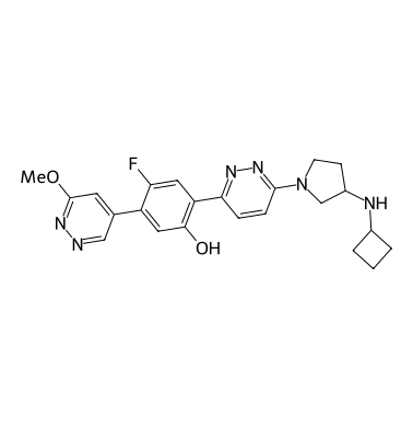 COc1cc(-c2cc(O)c(-c3ccc(N4CCC(NC5CCC5)C4)nn3)cc2F)cnn1